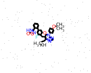 CCCc1c(Cc2ccc(-c3ccccc3-c3noc(=O)[nH]3)cc2F)c(=O)n(-c2ccc(OC(C)C)cc2)c2ncnn12.[KH]